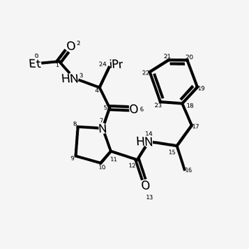 CCC(=O)NC(C(=O)N1CCCC1C(=O)NC(C)Cc1ccccc1)C(C)C